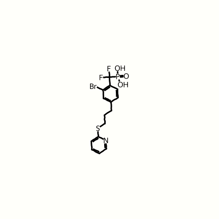 O=P(O)(O)C(F)(F)c1ccc(CCCSc2ccccn2)cc1Br